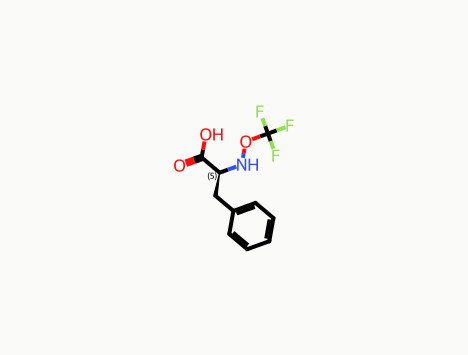 O=C(O)[C@H](Cc1ccccc1)NOC(F)(F)F